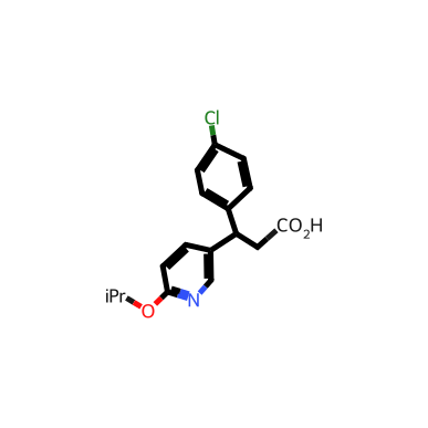 CC(C)Oc1ccc(C(CC(=O)O)c2ccc(Cl)cc2)cn1